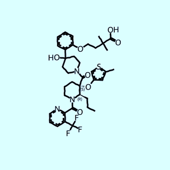 CCC[C@H]1N(C(=O)c2ncccc2C(F)(F)F)CCC[C@@]1(Oc1csc(C)c1)C(=O)N1CCC(O)(c2ccccc2OCCC(C)(C)C(=O)O)CC1